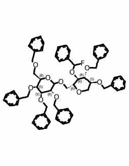 FC(O[C@H]1[C@H](OCc2ccccc2)[C@@H](OCc2ccccc2)CO[C@@H]1COC1O[C@H](COCc2ccccc2)[C@H](OCc2ccccc2)[C@H](OCc2ccccc2)[C@H]1OCc1ccccc1)c1ccccc1